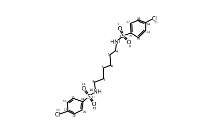 O=S(=O)(NCCCCCCNS(=O)(=O)c1ccc(Cl)cc1)c1ccc(Cl)cc1